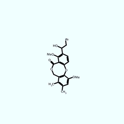 COc1cc(C)c(C)c2c1Oc1ccc(C(O)CC(C)C)c(OC)c1C(=O)OC2